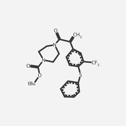 C=C(C(=O)N1CCN(C(=O)OC(C)(C)C)CC1)c1ccc(Sc2ccccc2)c(C(F)(F)F)c1